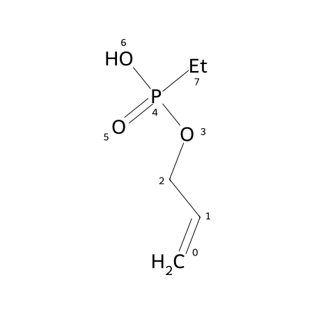 C=CCOP(=O)(O)CC